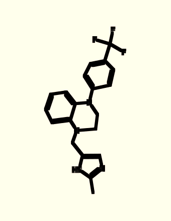 Cc1ncc(CN2CCN(c3ccc(C(F)(F)F)cc3)c3ccccc32)[nH]1